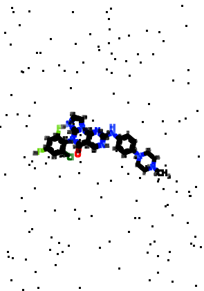 CN1CCN(c2ccc(Nc3ncc4c(=O)n(-c5c(F)cc(F)cc5Cl)c5nccn5c4n3)cc2)CC1